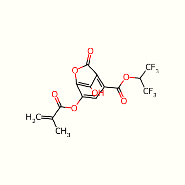 C=C(C)C(=O)Oc1cc(C(=O)OC(C(F)(F)F)C(F)(F)F)c2c(O)c1OC2=O